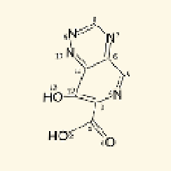 O=C(O)c1ncc2ncnnc2c1O